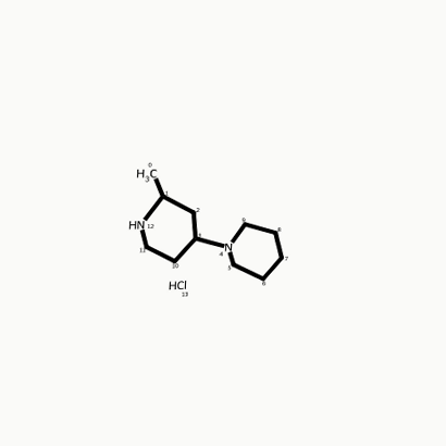 CC1CC(N2CCCCC2)CCN1.Cl